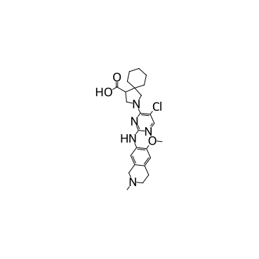 COc1cc2c(cc1Nc1ncc(Cl)c(N3CC(C(=O)O)C4(CCCCC4)C3)n1)CN(C)CC2